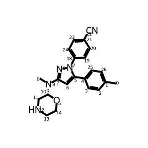 Cc1ccc(-c2cc(N(C)[C@H]3CNCCO3)nn2-c2ccc(C#N)cc2)cc1